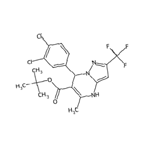 CC1=C(C(=O)OC(C)(C)C)C(c2ccc(Cl)c(Cl)c2)n2nc(C(F)(F)F)cc2N1